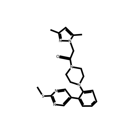 CSc1ncc(-c2ccccc2N2CCN(C(=O)Cn3nc(C)cc3C)CC2)cn1